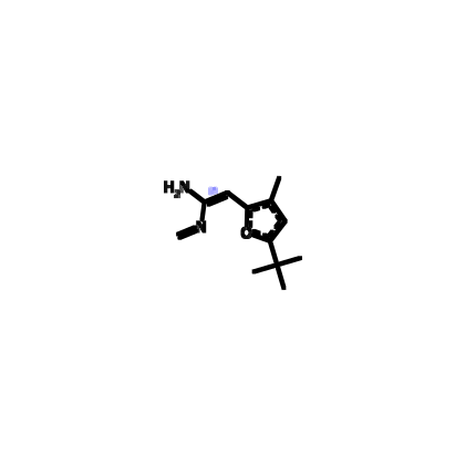 C=N/C(N)=C\c1oc(C(C)(C)C)cc1C